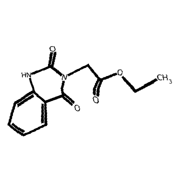 CCOC(=O)Cn1c(=O)[nH]c2ccccc2c1=O